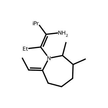 C/C=C1/CCCC(C)C(C)N1/C(CC)=C(\N)C(C)C